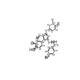 CC(NCc1cn(CC2=CC=C(F)[C@H](C)C2)c2cnc3c(=O)n(O)ccc3c12)c1ccc(Br)cc1